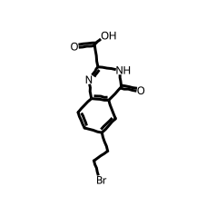 O=C(O)c1nc2ccc(CCBr)cc2c(=O)[nH]1